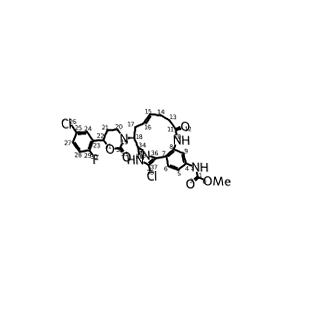 COC(=O)Nc1ccc2c(c1)NC(=O)CC/C=C/C[C@H](N1CCC(c3cc(Cl)ccc3F)OC1=O)c1nc-2c(Cl)[nH]1